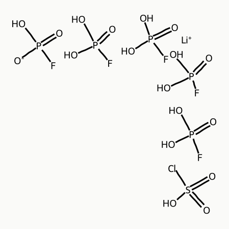 O=P(O)(O)F.O=P(O)(O)F.O=P(O)(O)F.O=P(O)(O)F.O=P([O-])(O)F.O=S(=O)(O)Cl.[Li+]